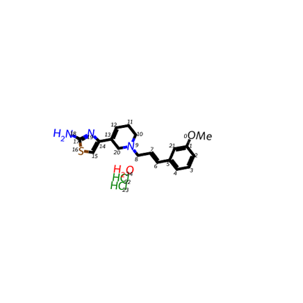 COc1cccc(C=CCN2CCC=C(c3csc(N)n3)C2)c1.Cl.Cl.O